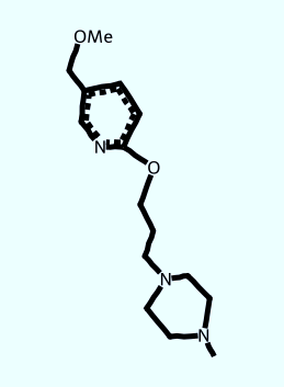 COCc1ccc(OCCCN2CCN(C)CC2)nc1